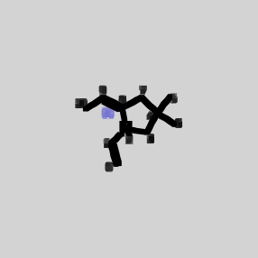 C=CN1CC(C)(C)C/C1=C/C